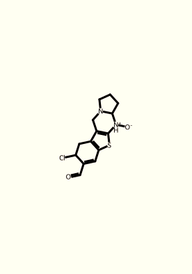 O=CC1=Cc2sc3c(c2CC1Cl)CN1CCCC1[NH+]3[O-]